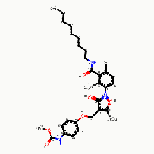 CCCCCCCCCCCCCCCCCCNC(=O)c1c(C)ccc(-n2oc(C(C)(C)C)c(COc3ccc(NC(=O)OC(C)(C)C)cc3)c2=O)c1[N+](=O)[O-]